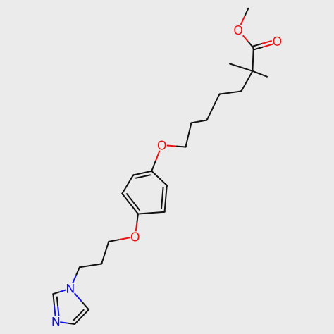 COC(=O)C(C)(C)CCCCCOc1ccc(OCCCn2ccnc2)cc1